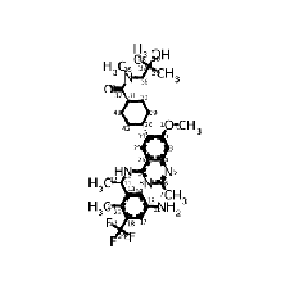 COc1cc2nc(C)nc(N[C@H](C)c3cc(N)cc(C(F)(F)F)c3C)c2cc1[C@H]1CC[C@H](C(=O)N(C)CC(C)(C)O)CC1